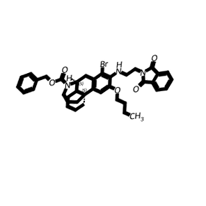 CCCCOc1cc2c(c(Br)c1NCCN1C(=O)c3ccccc3C1=O)C[C@H]1C3CCCC[C@@]23CCCN1C(=O)OCc1ccccc1